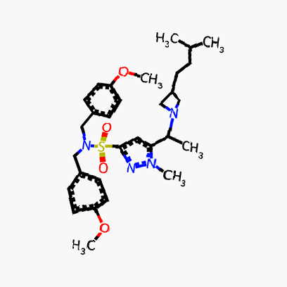 COc1ccc(CN(Cc2ccc(OC)cc2)S(=O)(=O)c2cc(C(C)N3CC(CCC(C)C)C3)n(C)n2)cc1